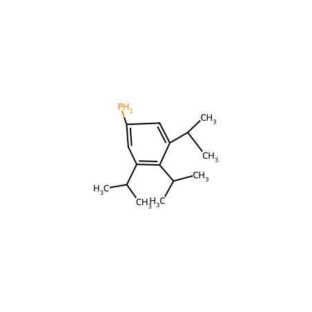 CC(C)c1cc(P)cc(C(C)C)c1C(C)C